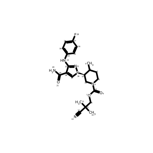 CC1CCN(C(=O)OCC(C)(C)C#N)C[C@H]1n1cc(C(N)=O)c(Nc2ccc(F)cc2)n1